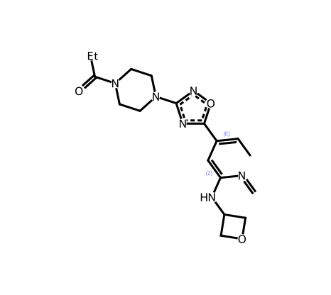 C=N/C(=C\C(=C/C)c1nc(N2CCN(C(=O)CC)CC2)no1)NC1COC1